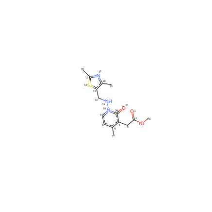 COC(=O)Cc1c(C)ccn(NCc2sc(C)nc2C)c1=O